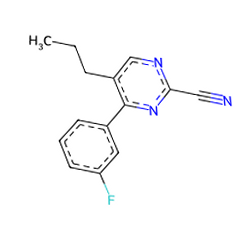 CCCc1cnc(C#N)nc1-c1cccc(F)c1